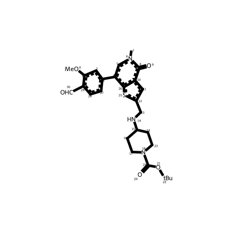 COc1cc(-c2cn(C)c(=O)c3cc(CNC4CCN(C(=O)OC(C)(C)C)CC4)sc23)ccc1C=O